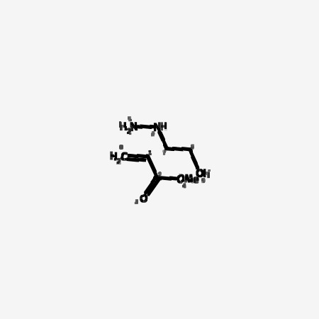 C=CC(=O)OC.NNCCO